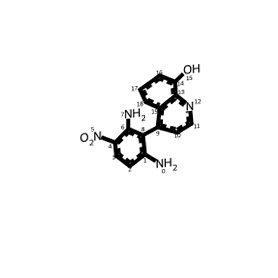 Nc1ccc([N+](=O)[O-])c(N)c1-c1ccnc2c(O)cccc12